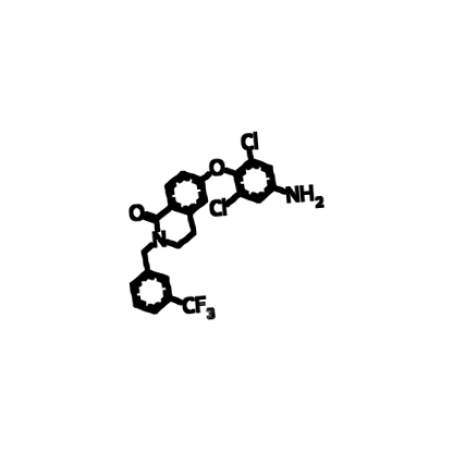 Nc1cc(Cl)c(Oc2ccc3c(c2)CCN(Cc2cccc(C(F)(F)F)c2)C3=O)c(Cl)c1